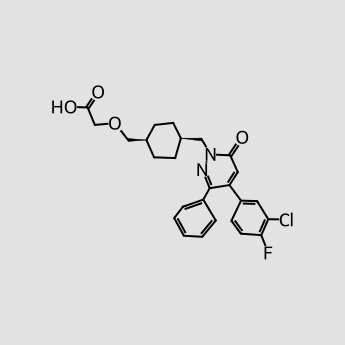 O=C(O)COC[C@H]1CC[C@@H](Cn2nc(-c3ccccc3)c(-c3ccc(F)c(Cl)c3)cc2=O)CC1